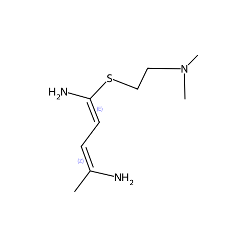 C/C(N)=C/C=C(\N)SCCN(C)C